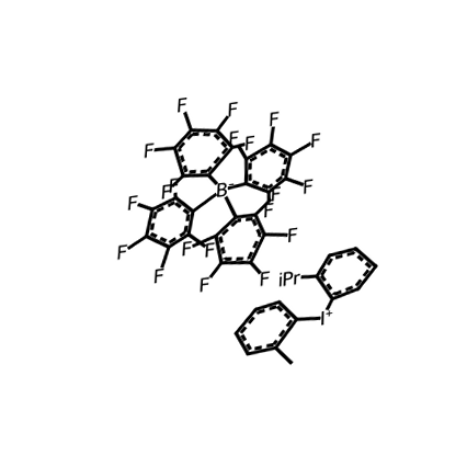 Cc1ccccc1[I+]c1ccccc1C(C)C.Fc1c(F)c(F)c([B-](c2c(F)c(F)c(F)c(F)c2F)(c2c(F)c(F)c(F)c(F)c2F)c2c(F)c(F)c(F)c(F)c2F)c(F)c1F